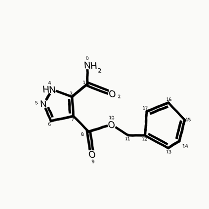 NC(=O)c1[nH]ncc1C(=O)OCc1ccccc1